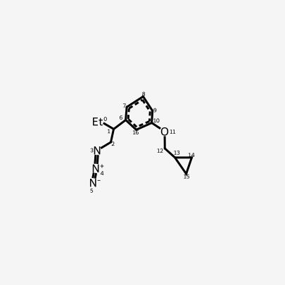 CCC(CN=[N+]=[N-])c1cccc(OCC2CC2)c1